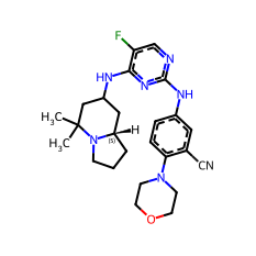 CC1(C)CC(Nc2nc(Nc3ccc(N4CCOCC4)c(C#N)c3)ncc2F)C[C@@H]2CCCN21